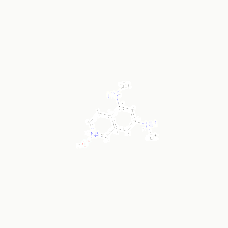 CCNc1cc(NCC)c2cc[n+]([O-])cc2c1